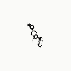 CC(c1ccccn1)n1nccc1-c1cc(Cl)c2c(c1)CCC(c1ccc3cn[nH]c3c1)C=C=N2